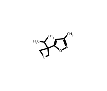 Cc1cc(C2(C(C)C)COC2)on1